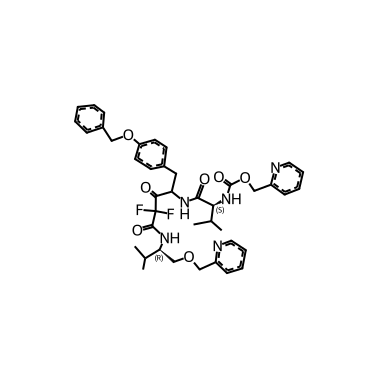 CC(C)[C@H](COCc1ccccn1)NC(=O)C(F)(F)C(=O)C(Cc1ccc(OCc2ccccc2)cc1)NC(=O)[C@@H](NC(=O)OCc1ccccn1)C(C)C